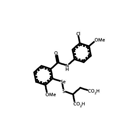 COc1ccc(NC(=O)c2cccc(OC)c2[Se]SC(CC(=O)O)C(=O)O)cc1Cl